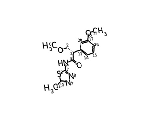 COC[C@@H](C(=O)Nc1nnc(C)s1)c1cccc(OC)c1